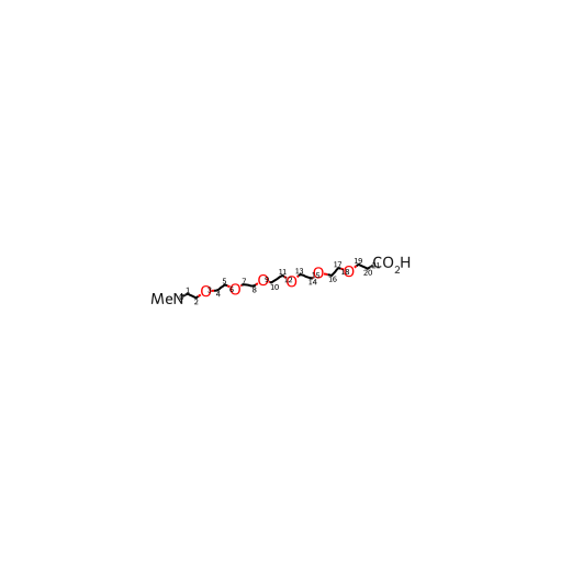 CNCCOCCOCCOCCOCCOCCOCCC(=O)O